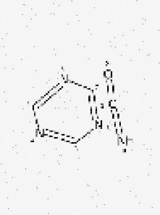 N=C=O.c1ncncn1